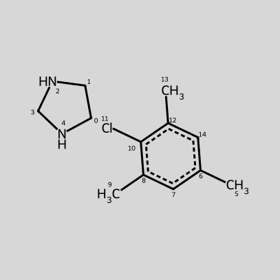 C1CNCN1.Cc1cc(C)c(Cl)c(C)c1